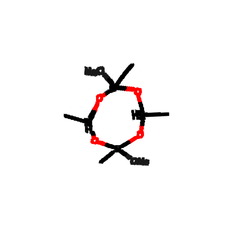 CO[Si]1(C)O[SiH](C)O[Si](C)(OC)O[SiH](C)O1